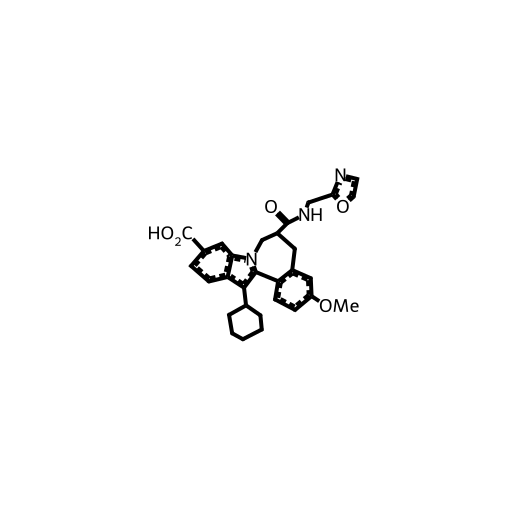 COc1ccc2c(c1)CC(C(=O)NCc1ncco1)Cn1c-2c(C2CCCCC2)c2ccc(C(=O)O)cc21